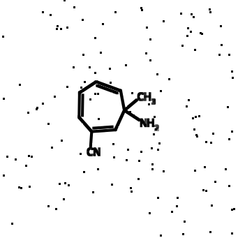 CC1(N)C=CC=CC(C#N)=C1